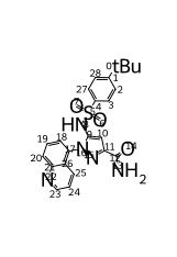 CC(C)(C)c1ccc(S(=O)(=O)Nc2cc(C(N)=O)nn2-c2cccc3ncccc23)cc1